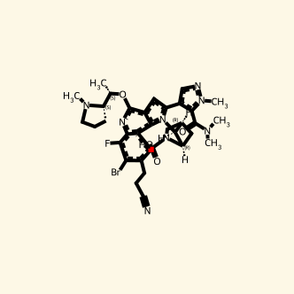 C[C@H](Oc1nc2c(F)c(Br)c(CCC#N)cc2c2c1cc(-c1cnn(C)c1C(=O)N(C)C)n2[C@H]1[C@@H]2C[C@H]1N(C(=O)O)C2)[C@@H]1CCCN1C